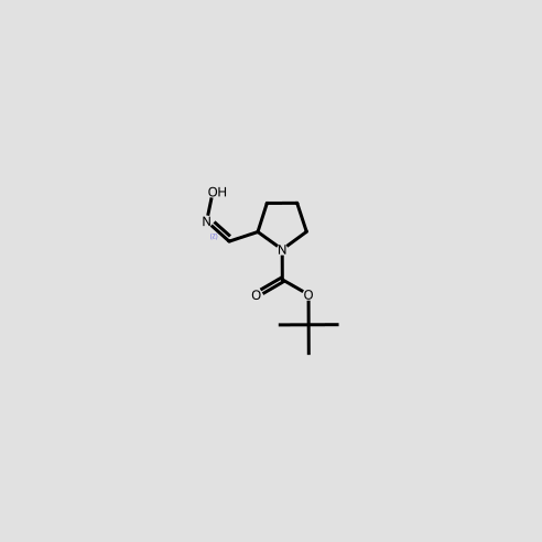 CC(C)(C)OC(=O)N1CCCC1/C=N\O